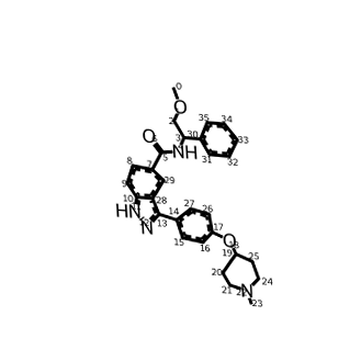 COCC(NC(=O)c1ccc2[nH]nc(-c3ccc(OC4CCN(C)CC4)cc3)c2c1)c1ccccc1